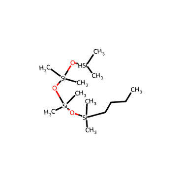 CCCC[Si](C)(C)O[Si](C)(C)O[Si](C)(C)O[SiH](C)C